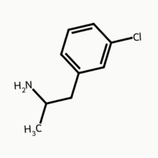 CC(N)Cc1cccc(Cl)c1